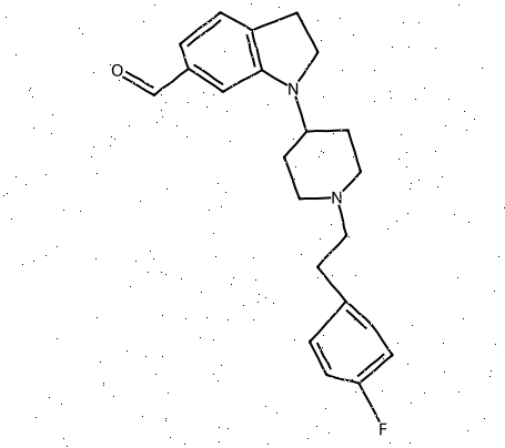 O=Cc1ccc2c(c1)N(C1CCN(CCc3ccc(F)cc3)CC1)CC2